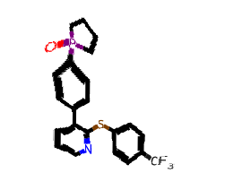 O=P1(c2ccc(-c3cccnc3Sc3ccc(C(F)(F)F)cc3)cc2)CCCC1